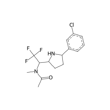 CC(=O)N(C)C(C1CCC(c2cccc(Cl)c2)N1)C(F)(F)F